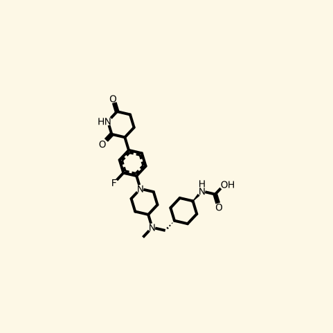 CN(C[C@H]1CC[C@H](NC(=O)O)CC1)C1CCN(c2ccc(C3CCC(=O)NC3=O)cc2F)CC1